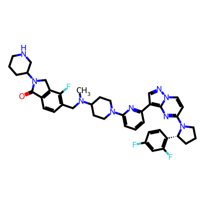 CN(Cc1ccc2c(c1F)CN(C1CCCNC1)C2=O)C1CCN(c2cccc(-c3cnn4ccc(N5CCC[C@@H]5c5ccc(F)cc5F)nc34)n2)CC1